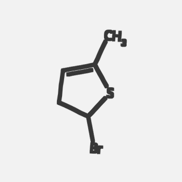 CC1=CCC(Br)S1